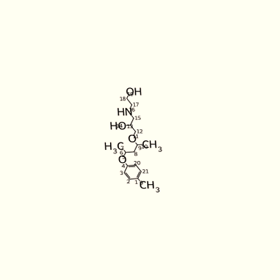 Cc1ccc(OC(C)CC(C)OCC(O)CNCCO)cc1